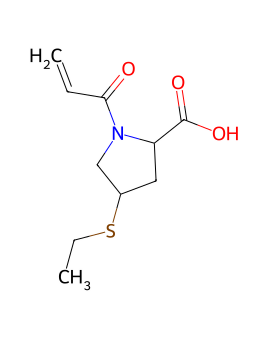 C=CC(=O)N1CC(SCC)CC1C(=O)O